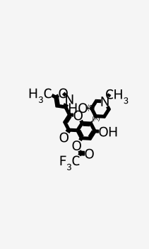 Cc1cc(-c2cc(=O)c3c(OC(=O)C(F)(F)F)cc(O)c([C@H]4CCN(C)C[C@H]4O)c3o2)no1